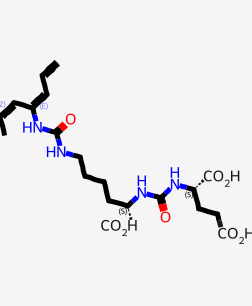 C=C/C=C(\C=C/C)NC(=O)NCCCC[C@H](NC(=O)N[C@@H](CCC(=O)O)C(=O)O)C(=O)O